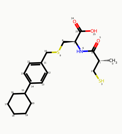 C[C@H](CS)C(=O)N[C@@H](CSCc1ccc(C2CCCCC2)cc1)C(=O)O